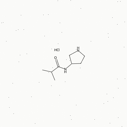 CC(C)C(=O)NC1CCNC1.Cl